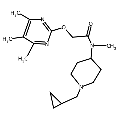 Cc1nc(OCC(=O)N(C)C2CCN(CC3CC3)CC2)nc(C)c1C